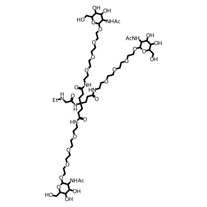 CCNCC(=O)NC(CCC(=O)NCCOCCOCCOCCOC1OC(CO)C(O)C(O)C1NC(C)=O)(CCC(=O)NCCOCCOCCOCCOC1OC(CO)C(O)C(O)C1NC(C)=O)CCC(=O)NCCOCCOCCOCCOC1OC(CO)C(O)C(O)C1NC(C)=O